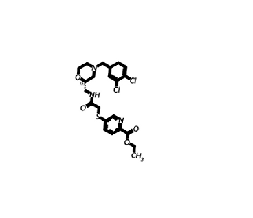 CCOC(=O)c1ccc(SCC(=O)NC[C@H]2CN(CC3C=C(Cl)C(Cl)=CC3)CCO2)cn1